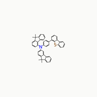 CC1(C)c2ccccc2-c2cc(N(c3ccc(-c4cccc5c4sc4ccccc45)cc3)c3cccc4c3-c3ccccc3C4(C)C)ccc21